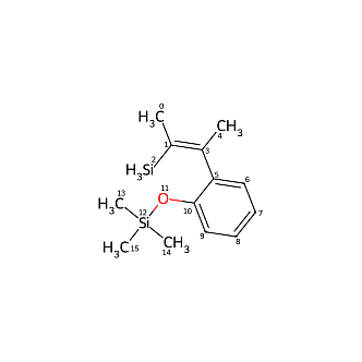 CC([SiH3])=C(C)c1ccccc1O[Si](C)(C)C